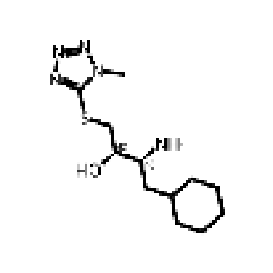 Cn1nnnc1SC[C@H](O)[C@@H]([NH])CC1CCCCC1